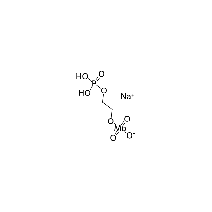 O=P(O)(O)OCC[O][Mo](=[O])(=[O])[O-].[Na+]